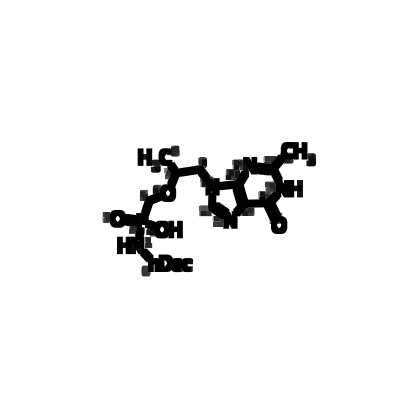 CCCCCCCCCCNP(=O)(O)COC(C)Cn1cnc2c(=O)[nH]c(C)nc21